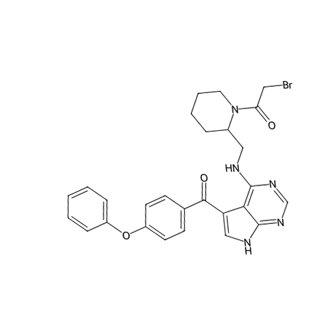 O=C(c1ccc(Oc2ccccc2)cc1)c1c[nH]c2ncnc(NCC3CCCCN3C(=O)CBr)c12